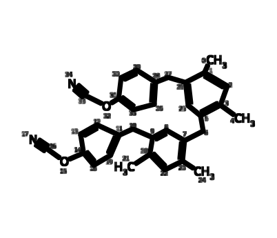 Cc1cc(C)c(Cc2cc(Cc3ccc(OC#N)cc3)c(C)cc2C)cc1Cc1ccc(OC#N)cc1